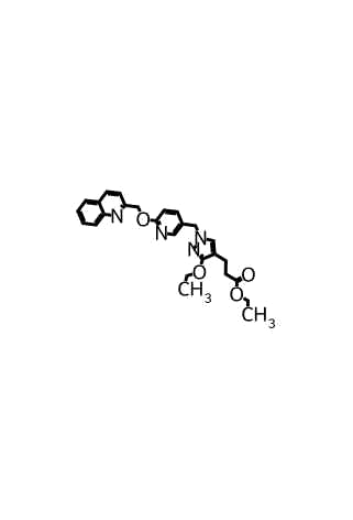 CCOC(=O)CCc1cn(Cc2ccc(OCc3ccc4ccccc4n3)nc2)nc1OCC